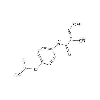 N#CC(=NO)C(=O)Nc1ccc(OC(F)C(F)(F)F)cc1